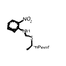 CCCCC[C@H](C)SCNc1ccccc1[N+](=O)[O-]